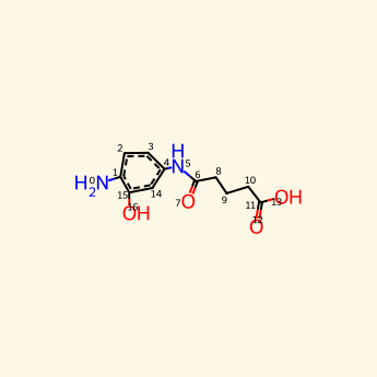 Nc1ccc(NC(=O)CCCC(=O)O)cc1O